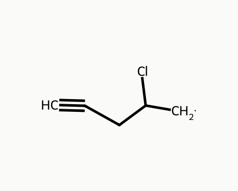 C#CCC([CH2])Cl